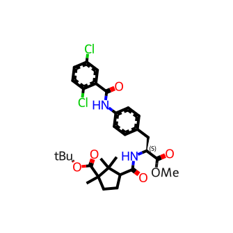 COC(=O)[C@H](Cc1ccc(NC(=O)c2cc(Cl)ccc2Cl)cc1)NC(=O)C1CCC(C)(C(=O)OC(C)(C)C)C1(C)C